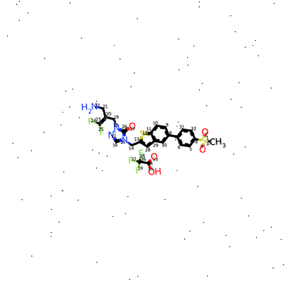 CS(=O)(=O)c1ccc(-c2ccc3sc(Cn4cnn(CC(CN)=C(F)F)c4=O)cc3c2)cc1.O=C(O)C(F)(F)F